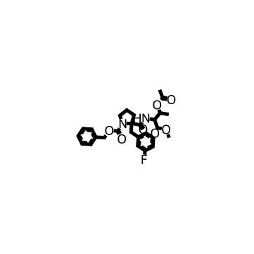 COC(=O)C(NC(=O)C1(Cc2cccc(F)c2)CCCN1C(=O)OCc1ccccc1)C(C)OC(C)=O